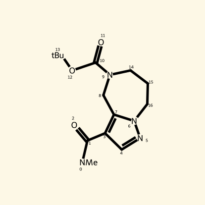 CNC(=O)c1cnn2c1CN(C(=O)OC(C)(C)C)CCC2